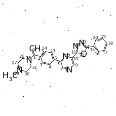 C=C(c1ccc(-c2cncc(-c3nnc(-c4ccccc4)o3)n2)cc1)N1CCN(C)CC1